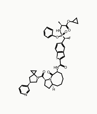 C[C@H](NP(=O)(Oc1ccccc1)[C@@H](F)c1ccc2sc(C(=O)N[C@H]3CCCC[C@H]4CC[C@@H](C(=O)N5C[C@@H](c6cccnc6)CC56CC6)N4C3=O)cc2c1)C(=O)OC1CC1